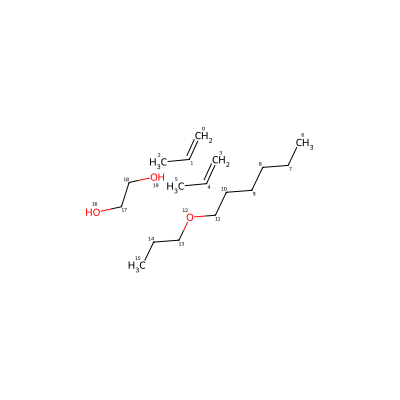 C=CC.C=CC.CCCCCCOCCC.OCCO